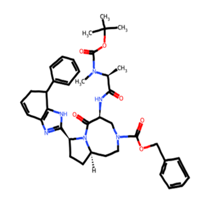 C[C@@H](C(=O)N[C@H]1CN(C(=O)OCc2ccccc2)CC[C@H]2CC[C@@H](c3nc4c([nH]3)C(c3ccccc3)CC=C4)N2C1=O)N(C)C(=O)OC(C)(C)C